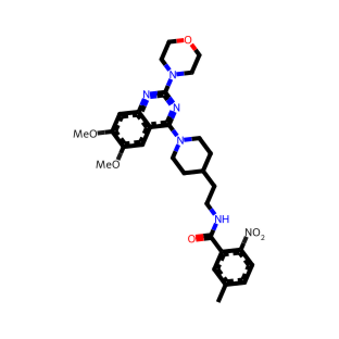 COc1cc2nc(N3CCOCC3)nc(N3CCC(CCNC(=O)c4cc(C)ccc4[N+](=O)[O-])CC3)c2cc1OC